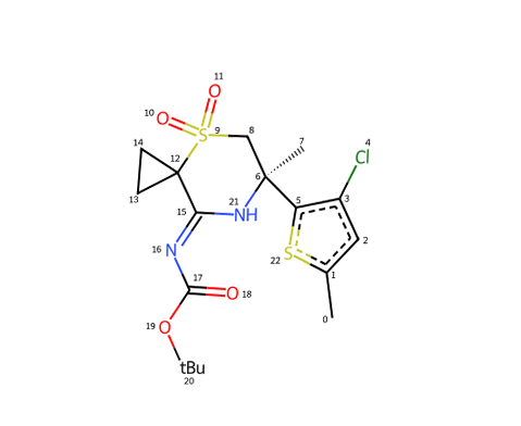 Cc1cc(Cl)c([C@]2(C)CS(=O)(=O)C3(CC3)/C(=N/C(=O)OC(C)(C)C)N2)s1